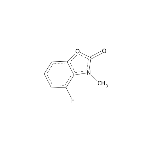 Cn1c(=O)oc2cccc(F)c21